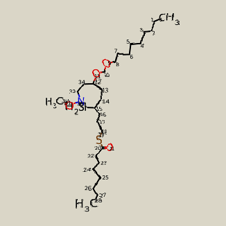 CCCCCCCCCOCOC1CCC(CCCSC(=O)CCCCCCC)[SiH2]N(OC)CC1